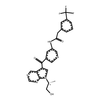 C[C@H](CO)n1cc(C(=O)c2cncc(NC(=O)Cc3cccc(C(F)(F)F)c3)c2)c2cncnc21